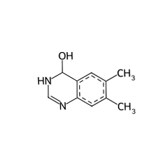 Cc1cc2c(cc1C)C(O)NC=N2